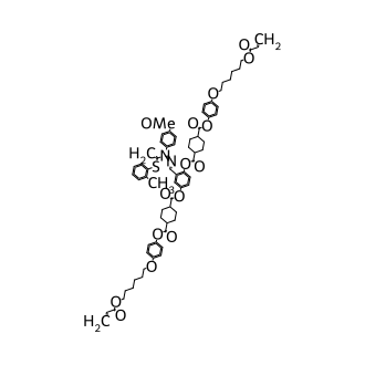 C=CC(=O)OCCCCCCOc1ccc(OC(=O)C2CCC(C(=O)Oc3ccc(OC(=O)C4CCC(C(=O)Oc5ccc(OCCCCCCOC(=O)C=C)cc5)CC4)c(/C=N/N(C(=C)Sc4ccccc4C)c4ccc(OC)cc4)c3)CC2)cc1